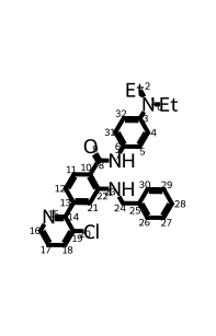 CCN(CC)c1ccc(NC(=O)c2ccc(-c3ncccc3Cl)cc2NCc2ccccc2)cc1